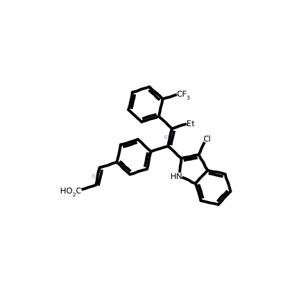 CC/C(=C(/c1ccc(/C=C/C(=O)O)cc1)c1[nH]c2ccccc2c1Cl)c1ccccc1C(F)(F)F